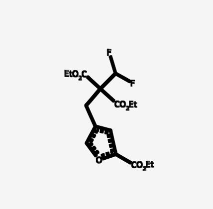 CCOC(=O)c1cc(CC(C(=O)OCC)(C(=O)OCC)C(F)F)co1